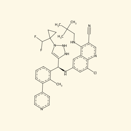 Cc1c(-c2ccncc2)cccc1[C@H](Nc1cc(Cl)c2ncc(C#N)c(NCC(C)(C)C)c2c1)C1=CN(C2(C(F)F)CC2)NN1